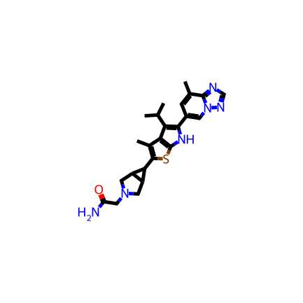 Cc1c(C2C3CN(CC(N)=O)CC32)sc2[nH]c(-c3cc(C)c4ncnn4c3)c(C(C)C)c12